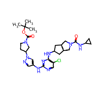 CC(C)(C)OC(=O)N1CCC(n2cc(Nc3ncc(Cl)c(NC4CC5CN(C(=O)NC6CC6)CC5C4)n3)cn2)C1